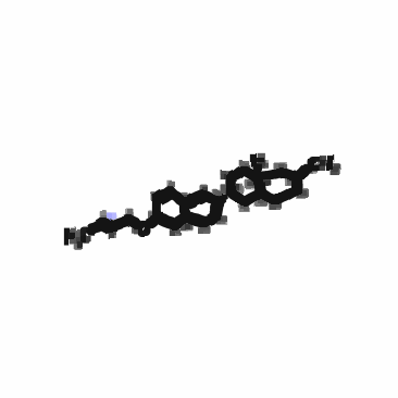 C/C=C/COc1ccc2cc([C@@H]3CC[C@@H]4CC(C)CCC4C3)ccc2c1